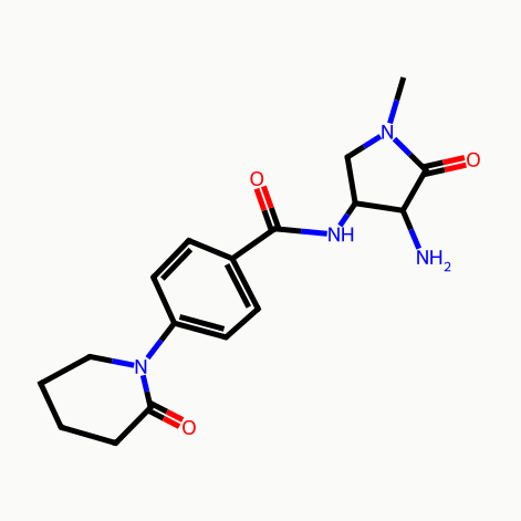 CN1CC(NC(=O)c2ccc(N3CCCCC3=O)cc2)C(N)C1=O